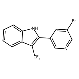 FC(F)(F)c1c(-c2cncc(Br)c2)[nH]c2ccccc12